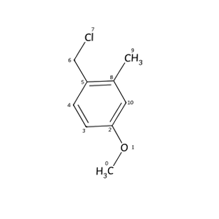 COc1ccc(CCl)c(C)c1